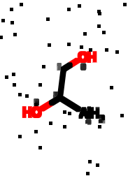 OC[CH](O)[AlH2]